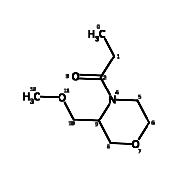 CCC(=O)N1CCOCC1COC